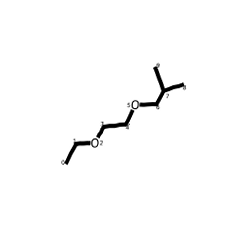 CCOC[CH]OCC(C)C